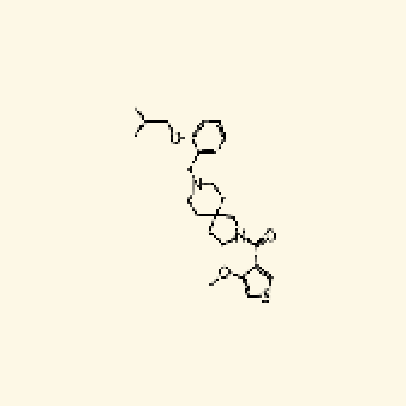 COc1cscc1C(=O)N1CCC2(CCN(Cc3ccccc3OCC(C)C)CC2)C1